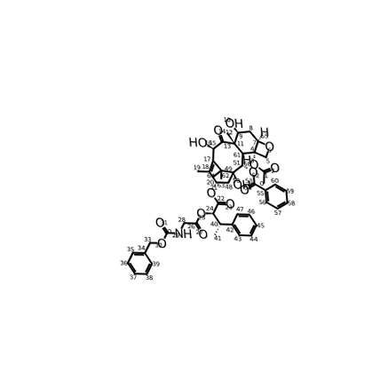 CC(=O)O[C@@]12CO[C@@H]1C[C@H](O)[C@@]1(C)C(=O)[C@H](O)C3=C(C)[C@@H](OC(=O)[C@H](OC(=O)CNC(=O)OCc4ccccc4)[C@@H](C)c4ccccc4)C[C@@](O)([C@@H](OC(=O)c4ccccc4)[C@H]21)C3(C)C